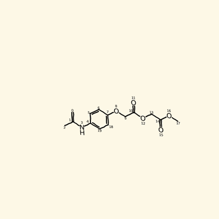 C=C(C)Nc1ccc(OCC(=O)OCC(=O)OC)cc1